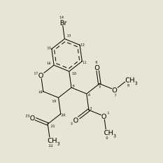 COC(=O)C(C(=O)OC)C1c2ccc(Br)cc2OCC1CC(C)=O